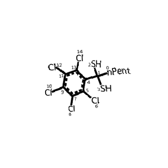 CCCCCC(S)(S)c1c(Cl)c(Cl)c(Cl)c(Cl)c1Cl